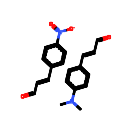 CN(C)c1ccc(C=CC=O)cc1.O=CC=Cc1ccc([N+](=O)[O-])cc1